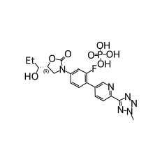 CCC(O)[C@H]1CN(c2ccc(-c3ccc(-c4nnn(C)n4)nc3)c(F)c2)C(=O)O1.O=P(O)(O)O